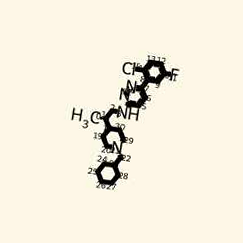 C[C@@H](CNc1ccc(-c2cc(F)ccc2Cl)nn1)C1CCN(CC2CCCCC2)CC1